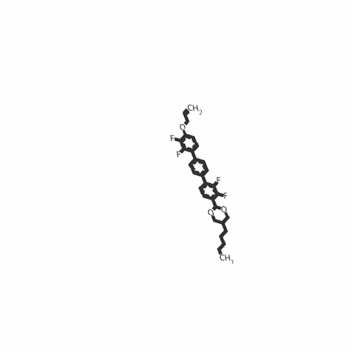 C=CCOc1ccc(-c2ccc(-c3ccc(C4OCC(CCCCC)CO4)c(F)c3F)cc2)c(F)c1F